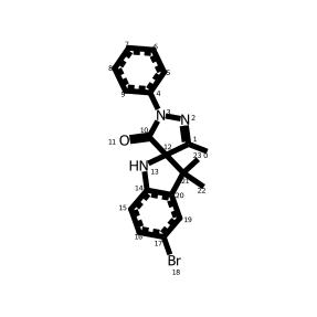 CC1=NN(c2ccccc2)C(=O)C12Nc1ccc(Br)cc1C2(C)C